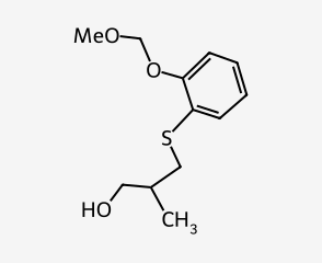 COCOc1ccccc1SCC(C)CO